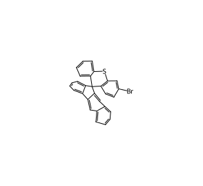 Brc1ccc2c(c1)Sc1ccccc1C21c2ccccc2-c2cc3ccccc3cc21